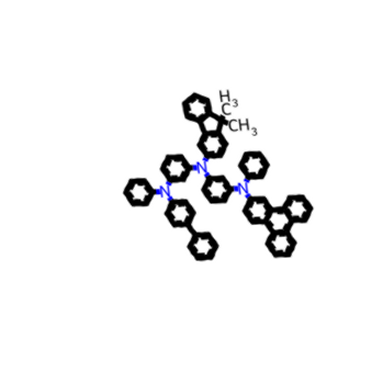 CC1(C)c2ccccc2-c2cc(N(c3cccc(N(c4ccccc4)c4ccc(-c5ccccc5)cc4)c3)c3cccc(N(c4ccccc4)c4ccc5c6ccccc6c6ccccc6c5c4)c3)ccc21